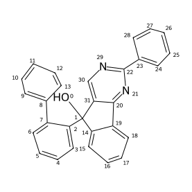 OC1(c2ccccc2-c2ccccc2)c2ccccc2-c2nc(-c3ccccc3)ncc21